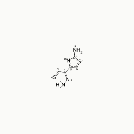 NN=C([C]=S)c1csc(N)n1